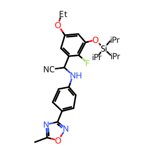 CCOc1cc(O[Si](C(C)C)(C(C)C)C(C)C)c(F)c(C(C#N)Nc2ccc(-c3noc(C)n3)cc2)c1